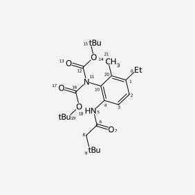 CCc1ccc(NC(=O)CC(C)(C)C)c(N(C(=O)OC(C)(C)C)C(=O)OC(C)(C)C)c1C